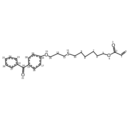 C=CC(=O)OCCCCCCSCCCOc1ccc(C(=O)c2ccccc2)cc1